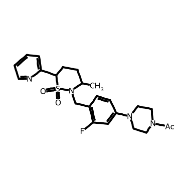 CC(=O)N1CCN(c2ccc(CN3C(C)CCC(c4ccccn4)S3(=O)=O)c(F)c2)CC1